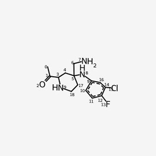 CC(=O)C1CC(CN)(Nc2ccc(F)c(Cl)c2)CCN1